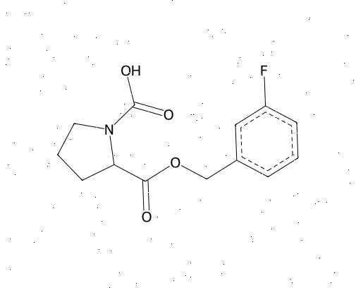 O=C(OCc1cccc(F)c1)C1CCCN1C(=O)O